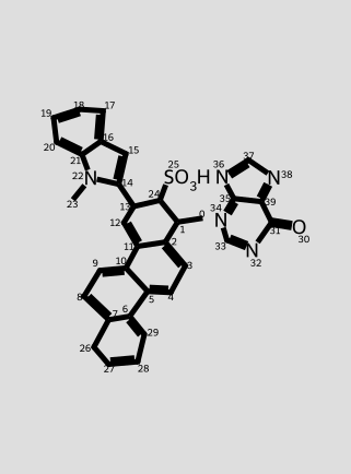 CC1c2ccc3c4c(ccc3c2=CC(c2cc3ccccc3n2C)C1S(=O)(=O)O)CC=CC=4.O=C1N=CN=C2N=CN=C12